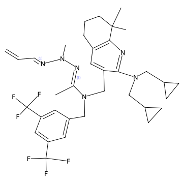 C=C/C=N/N(C)/N=C(\C)N(Cc1cc(C(F)(F)F)cc(C(F)(F)F)c1)Cc1cc2c(nc1N(CC1CC1)CC1CC1)C(C)(C)CCC2